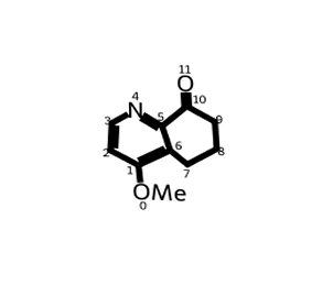 COc1ccnc2c1CCCC2=O